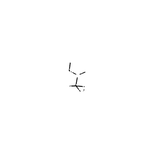 CC(=O)CN(C)C1(C(C)=O)SS1